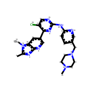 Cc1nc2ncc(-c3nc(Nc4ccc(CN5CCN(C)CC5)cn4)ncc3Cl)cc2n1C(C)(C)C